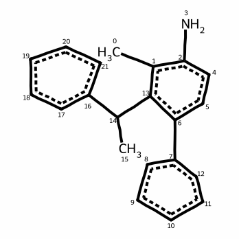 Cc1c(N)ccc(-c2ccccc2)c1C(C)c1ccccc1